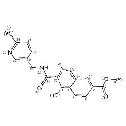 CC(C)OC(=O)c1ccc2c(O)c(C(=O)NCc3ccc(C#N)nc3)ncc2n1